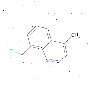 Cc1ccnc2c(CF)cccc12